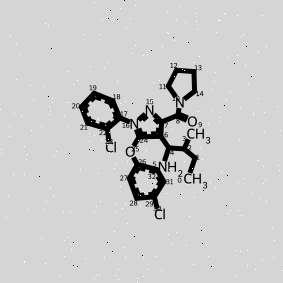 CCC(C)C(N)c1c(C(=O)N2CCCC2)nn(-c2ccccc2Cl)c1Oc1ccc(Cl)cc1